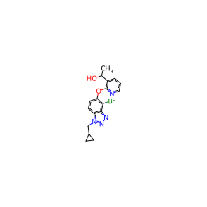 CC(O)c1cccnc1Oc1ccc2c(nnn2CC2CC2)c1Br